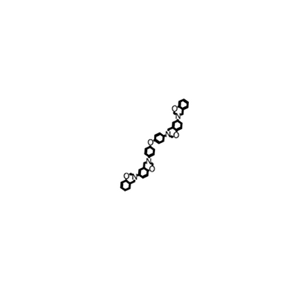 C1=CC2OCN(C3=CC4CN(C5=CCC(OC6=CCC(N7COC8=CCC(N9COc%10ccccc%10C9)C=C8C7)C=C6)C=C5)COC4C=C3)CC2CC1